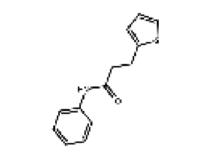 O=C(CCc1cccs1)Nc1ccccc1